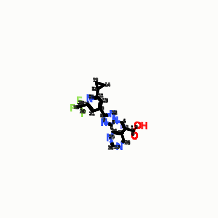 O=C(O)/C(=C/n1cnc(-c2cc(C3CC3)nc(C(F)(F)F)c2)n1)c1cncnc1